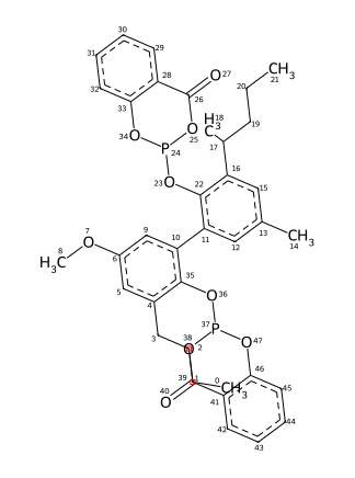 CCCCc1cc(OC)cc(-c2cc(C)cc(C(C)CCC)c2OP2OC(=O)c3ccccc3O2)c1OP1OC(=O)c2ccccc2O1